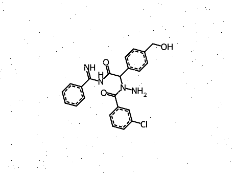 N=C(NC(=O)C(c1ccc(CO)cc1)N(N)C(=O)c1cccc(Cl)c1)c1ccccc1